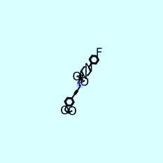 O=S(=O)(/C=C/C#Cc1ccc2c(c1)OCO2)N1CCN(c2ccc(F)cc2)CC1